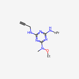 C#CCNc1nc(NCCC)nc(N(C)OCC)n1